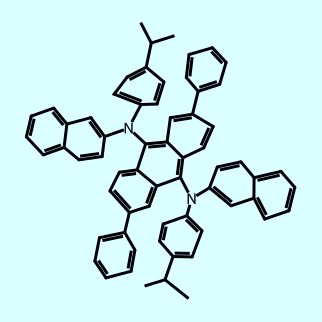 CC(C)c1ccc(N(c2ccc3ccccc3c2)c2c3ccc(-c4ccccc4)cc3c(N(c3ccc(C(C)C)cc3)c3ccc4ccccc4c3)c3ccc(-c4ccccc4)cc23)cc1